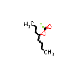 CCCCC(CCC)OC(=O)F